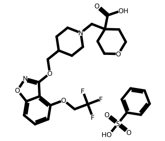 O=C(O)C1(CN2CCC(COc3noc4cccc(OCC(F)(F)F)c34)CC2)CCOCC1.O=S(=O)(O)c1ccccc1